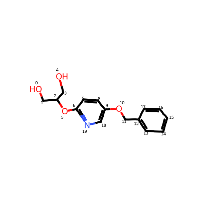 OCC(CO)Oc1ccc(OCc2ccccc2)cn1